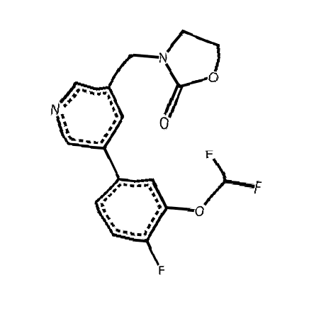 O=C1OCCN1Cc1cncc(-c2ccc(F)c(OC(F)F)c2)c1